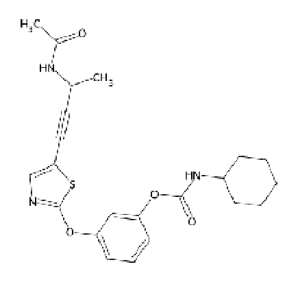 CC(=O)NC(C)C#Cc1cnc(Oc2cccc(OC(=O)NC3CCCCC3)c2)s1